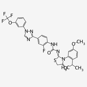 COc1ccc(C(C)C)c(N2C(=O)CSC2=NC(=O)Nc2ccc(-c3ncn(-c4cccc(OC(F)(F)F)c4)n3)cc2F)c1